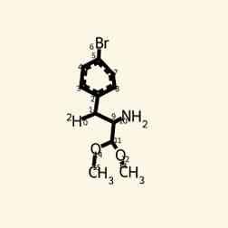 [2H]C(c1ccc(Br)cc1)C(N)C(OC)OC